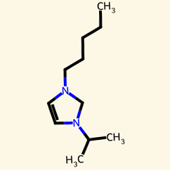 CCCCCN1C=CN(C(C)C)C1